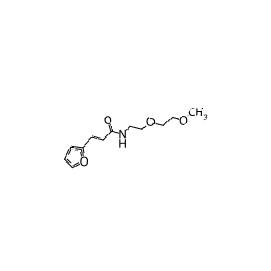 COCCOCCNC(=O)CCc1ccco1